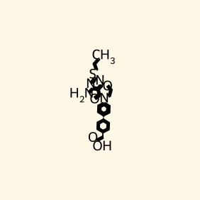 CCCCSc1nc(N)c2c(n1)OCCN(c1ccc([C@H]3CC[C@H](CC(=O)O)CC3)cc1)C2=O